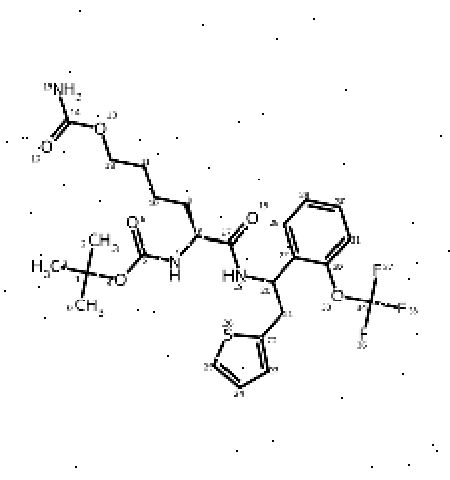 CC(C)(C)OC(=O)N[C@@H](CCCCOC(N)=O)C(=O)NC(Cc1cccs1)c1ccccc1OC(F)(F)F